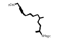 [CH2]CCCCCCCCCCC#CCCCCC(C)CCC(C)CCCCCC[CH2]